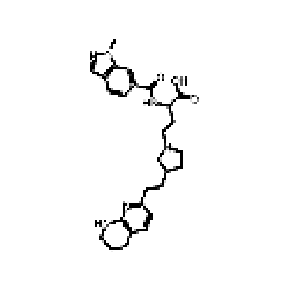 Cn1ncc2ccc(C(=O)NC(CCN3CCC(CCc4ccc5c(n4)NCCC5)C3)C(=O)O)cc21